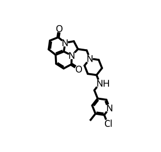 Cc1cc(CNC2CCN(CC3Cn4c(=O)ccc5ccc(=O)n3c54)CC2)cnc1Cl